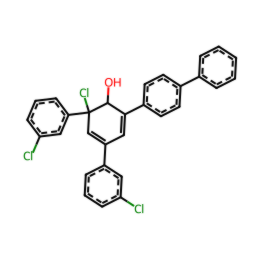 OC1C(c2ccc(-c3ccccc3)cc2)=CC(c2cccc(Cl)c2)=CC1(Cl)c1cccc(Cl)c1